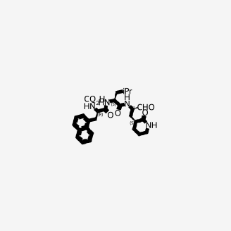 CC(C)C[C@H](NC(=O)[C@@H](Cc1cccc2ccccc12)NC(=O)O)C(=O)N[C@H](C=O)C[C@@H]1CCCNC1=O